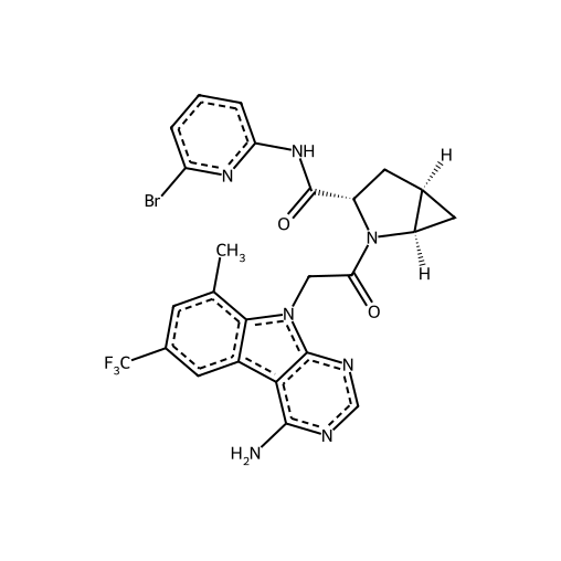 Cc1cc(C(F)(F)F)cc2c3c(N)ncnc3n(CC(=O)N3[C@@H]4C[C@@H]4C[C@H]3C(=O)Nc3cccc(Br)n3)c12